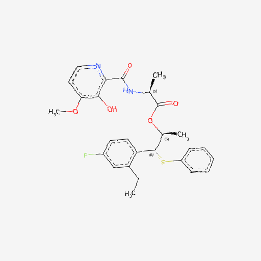 CCc1cc(F)ccc1[C@@H](Sc1ccccc1)[C@H](C)OC(=O)[C@H](C)NC(=O)c1nccc(OC)c1O